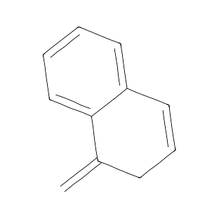 C=C1CC=Cc2ccccc21